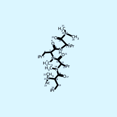 CCCC(NC(=O)C(CC(C)C)N(C)C(=O)C(C(C)C)N(C)C(=O)C(CC(C)C)N(C)C(C)=O)C(=O)N(C)C